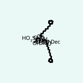 CCCCCCCCCCC[C@@H](CC(=O)N[C@@H]1[C@@H](OC(=O)CCCCCCCCc2ccccc2)[C@H](OS(=O)(=O)O)[C@@H](CO)O[C@@H]1O)OC(=O)CCCCCCCCc1ccccc1